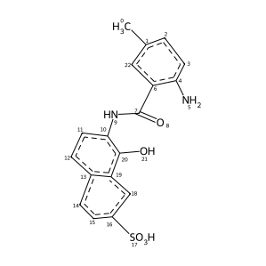 Cc1ccc(N)c(C(=O)Nc2ccc3ccc(S(=O)(=O)O)cc3c2O)c1